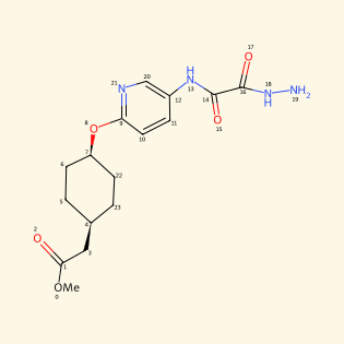 COC(=O)C[C@H]1CC[C@@H](Oc2ccc(NC(=O)C(=O)NN)cn2)CC1